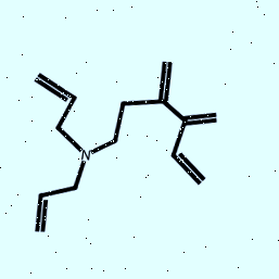 C=CCN(CC=C)CCC(=C)C(=C)C=C